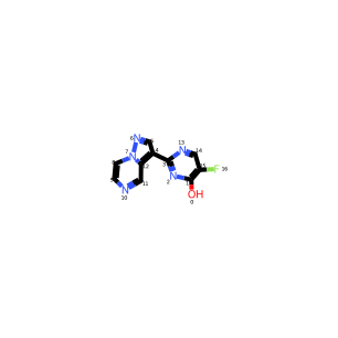 Oc1nc(-c2cnn3ccncc23)ncc1F